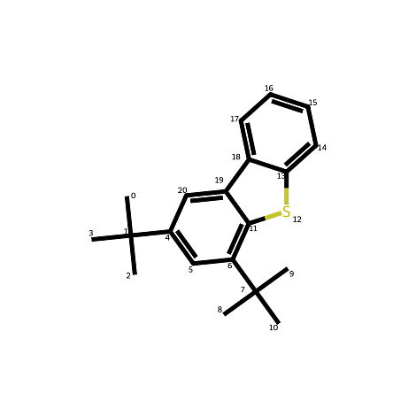 CC(C)(C)c1cc(C(C)(C)C)c2sc3ccccc3c2c1